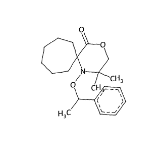 CC(ON1C(C)(C)COC(=O)C12CCCCCC2)c1ccccc1